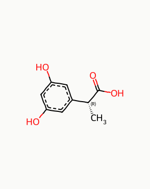 C[C@@H](C(=O)O)c1cc(O)cc(O)c1